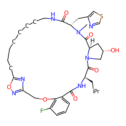 CC(C)C[C@H]1NC(=O)c2cccc(F)c2OCc2noc(n2)CCCCCCCCNC(=O)[C@H](Cc2cscn2)N(C)C(=O)[C@H]2C[C@H](O)CN2C1=O